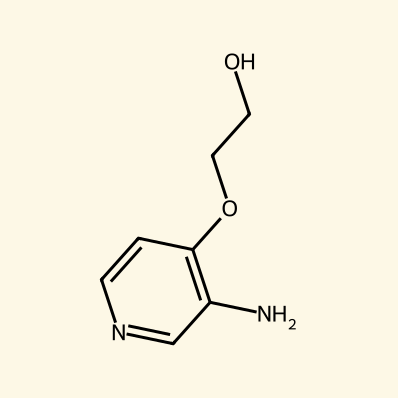 Nc1cnccc1OCCO